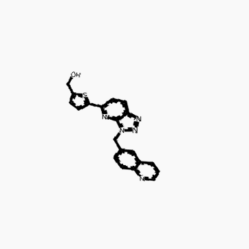 OCc1ccc(-c2ccc3nnn(Cc4ccc5ncccc5c4)c3n2)s1